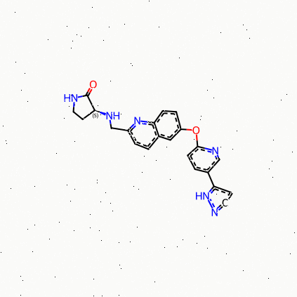 O=C1NCC[C@@H]1NCc1ccc2cc(Oc3ccc(-c4ccn[nH]4)cn3)ccc2n1